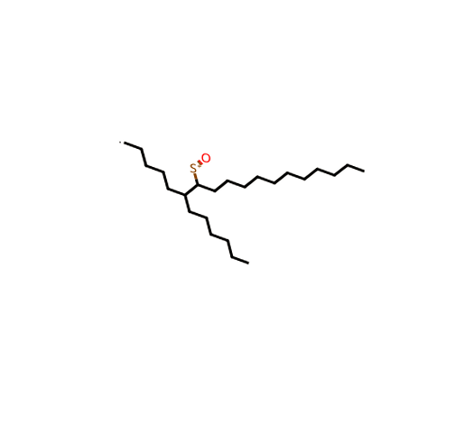 [CH2]CCCCC(CCCCCC)C(CCCCCCCCCCC)[S+]=O